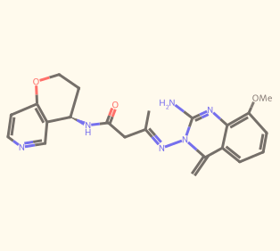 C=C1c2cccc(OC)c2N=C(N)N1/N=C(\C)CC(=O)N[C@@H]1CCOc2ccncc21